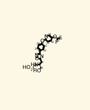 O=C(O)N[C@H](CO)Cc1nc(-c2ccc(Oc3ccc(OC(F)F)cn3)cc2)no1